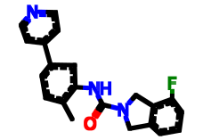 Cc1ccc(-c2ccncc2)cc1NC(=O)N1Cc2cccc(F)c2C1